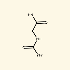 CCCC(=O)NCC([NH])=O